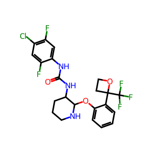 O=C(Nc1cc(F)c(Cl)cc1F)NC1CCCNC1Oc1ccccc1C1(C(F)(F)F)CCO1